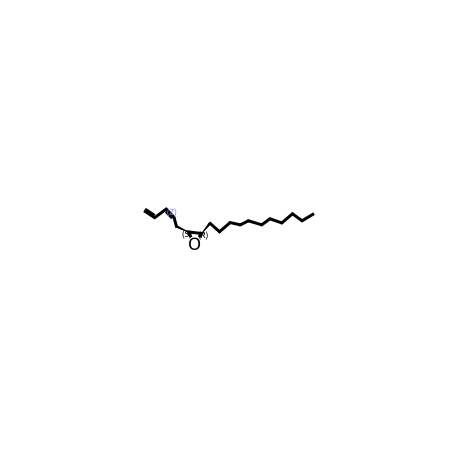 C=C/C=C\C[C@@H]1O[C@@H]1CCCCCCCCCCC